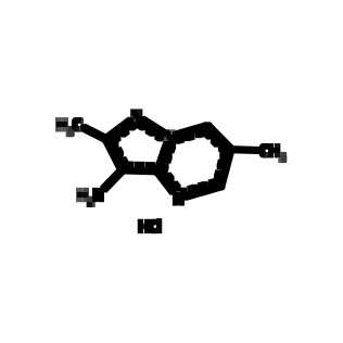 Cc1cnc2c(N)c(C)nn2c1.Cl